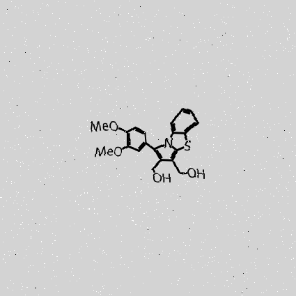 COc1ccc(-c2c(CO)c(CO)c3sc4ccccc4n23)cc1OC